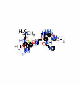 COc1cc(NC(=O)/C=C/CN(C)C)ccc1-c1nc(N)ncc1-c1ccc(Oc2nccc(CCOc3cc(NC(=O)/C=C/CN4CCCCC4)ccc3-c3ncnc(N)c3-c3ccc(Oc4nccc(C)n4)c(F)c3)n2)c(F)c1